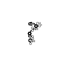 Cc1c(Cl)cc(NC(=O)OCc2ccc3c(c2)C(=O)N(C2CCC(=O)NC2=O)C3)cc1CN1CC2CCC(C1)O2